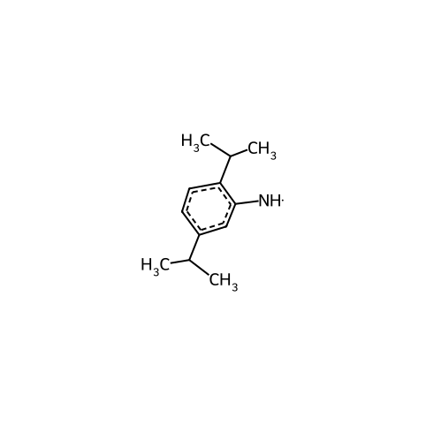 CC(C)c1ccc(C(C)C)c([NH])c1